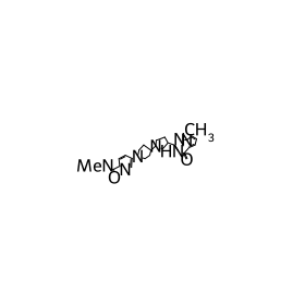 CNC(=O)c1ccc(N2CCC(N3CCC(c4nn5c(C)ccc5c(=O)[nH]4)C3)CC2)cn1